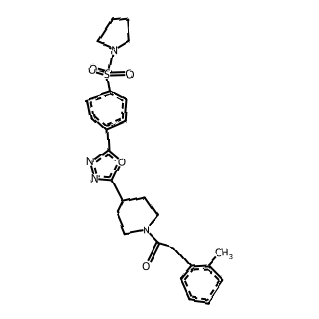 Cc1ccccc1CC(=O)N1CCC(c2nnc(-c3ccc(S(=O)(=O)N4CCCC4)cc3)o2)CC1